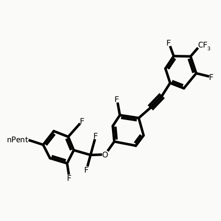 CCCCCc1cc(F)c(C(F)(F)Oc2ccc(C#Cc3cc(F)c(C(F)(F)F)c(F)c3)c(F)c2)c(F)c1